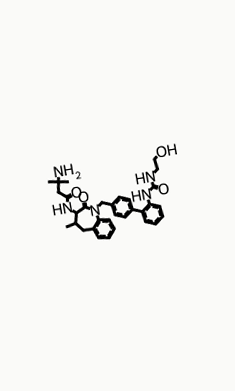 CC1Cc2ccccc2N(Cc2ccc(-c3ccccc3NC(=O)NCCO)cc2)C(=O)C1NC(=O)CC(C)(C)N